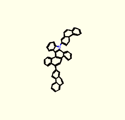 C1=Cc2ccccc2C2CC=C(n3c4ccccc4c4c5c6ccccc6c(-c6ccc7c(ccc8ccccc87)c6)cc5c5ccccc5c43)C=C12